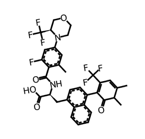 CC1=CC(C(F)(F)F)=C(c2ccc(C[C@H](NC(=O)c3c(C)cc(N4CCOC[C@@H]4C(F)(F)F)cc3F)C(=O)O)c3ccccc23)C(=O)C1C